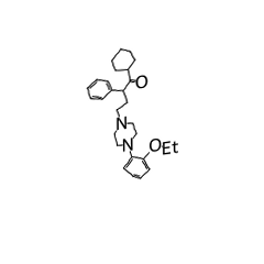 CCOc1ccccc1N1CCN(CCC(C(=O)C2CCCCC2)c2ccccc2)CC1